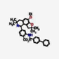 CCOc1cc2c(c3c1OC(C)(C)C3)C(c1ccc(C(=O)O)c(NCc3ccc(-c4ccccc4)cc3)c1)=NC(C)(C)C2